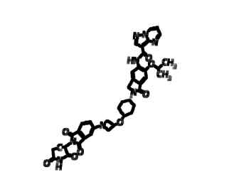 CC(C)Oc1cc2c(cc1NC(=O)c1cnn3cccnc13)CN([C@H]1CC[C@H](OC3CN(c4ccc5c(c4)C(=O)N(C4CCC(=O)NC4=O)C5=O)C3)CC1)C2=O